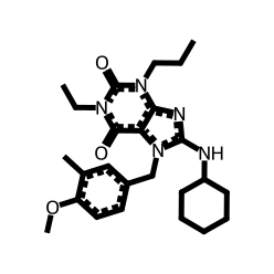 CCCn1c(=O)n(CC)c(=O)c2c1nc(NC1CCCCC1)n2Cc1ccc(OC)c(C)c1